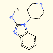 CCCNc1nc2ccccc2n1C1CC[N]CC1